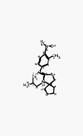 Cc1cc(N=C2SCC3(CCCC3)N2CC(C)C)ccc1[N+](=O)[O-]